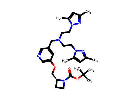 Cc1cc(C)n(CCN(CCn2nc(C)cc2C)Cc2cncc(OC[C@@H]3CCN3C(=O)OC(C)(C)C)c2)n1